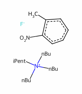 CCCC[N+](CCCC)(CCCC)C(C)CCC.Cc1ccccc1[N+](=O)[O-].[F-]